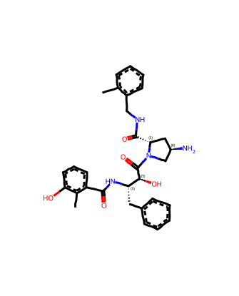 Cc1ccccc1CNC(=O)[C@@H]1C[C@@H](N)CN1C(=O)[C@@H](O)[C@H](Cc1ccccc1)NC(=O)c1cccc(O)c1C